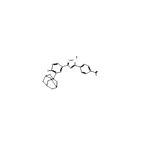 COC(=O)c1ccc(-c2cc(-c3ccc(O)c(C45CC6CC(CC(C6)C4)C5)c3)nn2C(=O)O)cc1